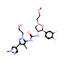 COCCN1C[C@@H](NC(=O)Nc2c(C)c(-c3cnn(C)c3)nn2CCO)[C@H](c2ccc(F)c(F)c2)O1